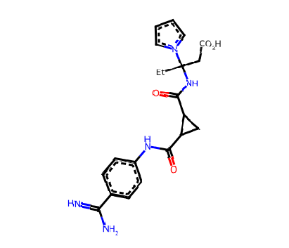 CCC(CC(=O)O)(NC(=O)C1CC1C(=O)Nc1ccc(C(=N)N)cc1)n1cccc1